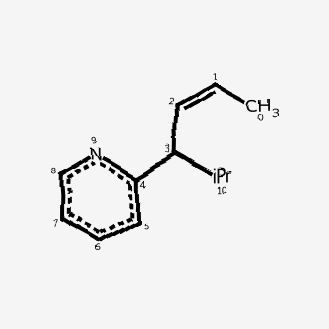 C/C=C\C(c1ccccn1)C(C)C